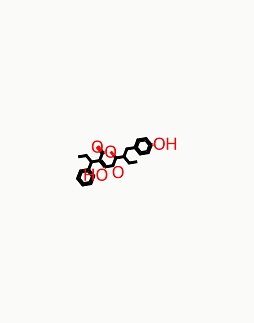 CCC(C1=C(O)C(=O)C(C(CC)Cc2ccc(O)cc2)OC1=O)c1ccccc1